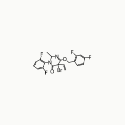 C=CC1(Br)C(=O)N(c2c(F)cccc2F)C(C)N=C1OCc1ccc(F)cc1F